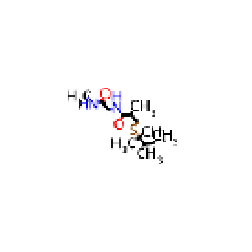 CCC(C)C(C)(C)SCC(C)C(=O)NCC(=O)NC